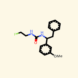 COc1cccc(C(Cc2ccccc2)NC(=O)NCCF)c1